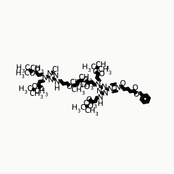 CC(C)(C)OC(=O)CCNc1nc(N(CCC(=O)OC(C)(C)C)CCC(=O)OC(C)(C)CCC(C)(C)OCCCNc2nc(Cl)nc(N(CCC(=O)OC(C)(C)C)CCC(=O)OC(C)(C)C)n2)nc(N2CCN(C(=O)CCCC(=O)OCc3ccccc3)CC2)n1